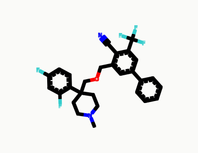 CN1CCC(COCc2cc(-c3ccccc3)cc(C(F)(F)F)c2C#N)(c2ccc(F)cc2F)CC1